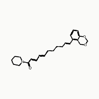 O=C(C=CC=CCCCCC=Cc1cccc2c1COCO2)N1CCCCC1